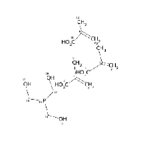 C=C(C)C(=O)O.C=C(C)C(=O)O.C=C(C)C(=O)O.OCP(CO)CO